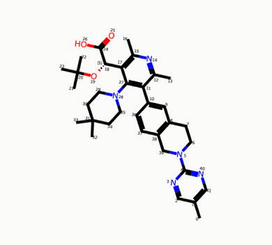 Cc1cnc(N2CCc3cc(-c4c(C)nc(C)c([C@H](OC(C)(C)C)C(=O)O)c4N4CCC(C)(C)CC4)ccc3C2)nc1